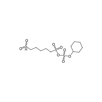 O=[SH](=O)CCCCCS(=O)(=O)OS(=O)(=O)OC1CCCCC1